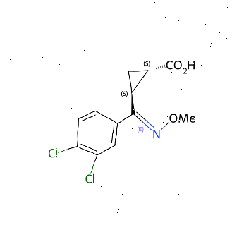 CO/N=C(/c1ccc(Cl)c(Cl)c1)[C@H]1C[C@@H]1C(=O)O